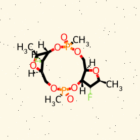 C[C@@H]1O[C@@H]2COP(C)(=O)O[C@@H]3[C@H](F)[C@@H](COP(C)(=O)O[C@H]2[C@H]1F)O[C@H]3C